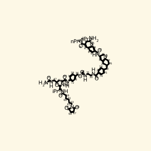 CCCN(CCC)C(=O)C1=Cc2ccc(C(=O)Nc3cnc4c(c3)CC(Cc3ccc(C(=O)NCCNC(=O)OCc5ccc(NC(=O)[C@H](CCCNC(N)=O)NC(=O)[C@@H](NC(=O)CCCCCN6C(=O)C=CC6=O)C(C)C)cc5)cc3)CC4)cc2N=C(N)C1